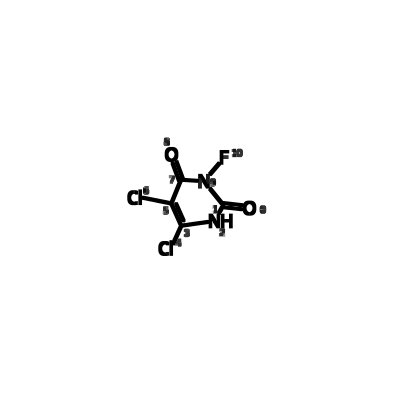 O=c1[nH]c(Cl)c(Cl)c(=O)n1F